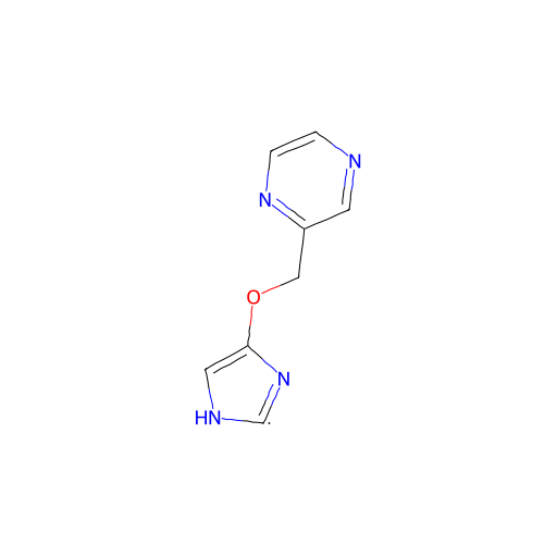 [c]1nc(OCc2cnccn2)c[nH]1